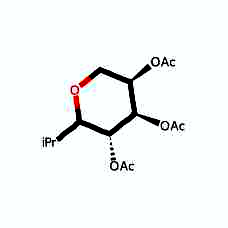 CC(=O)O[C@H]1[C@H](OC(C)=O)C(C(C)C)OC[C@H]1OC(C)=O